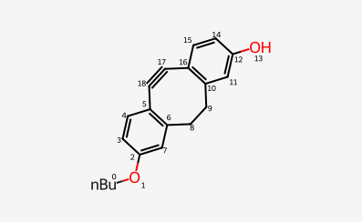 CCCCOc1ccc2c(c1)CCc1cc(O)ccc1C#C2